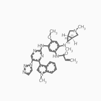 C=CC(=O)Nc1cc(Nc2ncc(-n3ccnn3)c(-c3cn(C)c4ccccc34)n2)c(OC)cc1N(C)[C@H]1[C@@H]2CN(C)C[C@@H]21